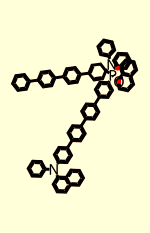 O=P(c1ccccc1)(c1ccc(-c2ccc(-c3ccc(-c4ccc(N(c5ccccc5)c5cccc6ccccc56)cc4)cc3)cc2)cc1)C1(N(c2ccccc2)c2cccc3ccccc23)C=CC(c2ccc(-c3ccc(-c4ccccc4)cc3)cc2)=CC1